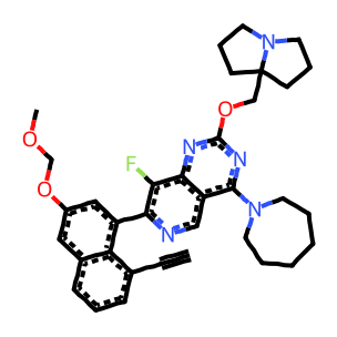 C#Cc1cccc2cc(OCOC)cc(-c3ncc4c(N5CCCCCC5)nc(OCC56CCCN5CCC6)nc4c3F)c12